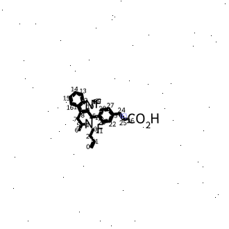 C=CCCN1C(C)Cc2c(n(C)c3ccccc23)C1c1c(F)cc(/C=C/C(=O)O)cc1F